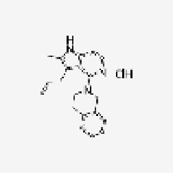 C=CCc1c(C)[nH]c2ccnc(N3CCc4ccccc4C3)c12.Cl